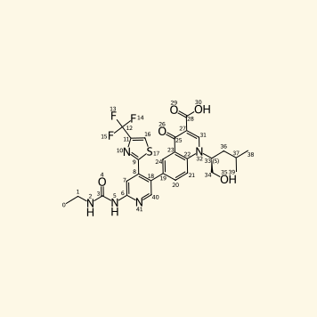 CCNC(=O)Nc1cc(-c2nc(C(F)(F)F)cs2)c(-c2ccc3c(c2)c(=O)c(C(=O)O)cn3[C@H](CO)CC(C)C)cn1